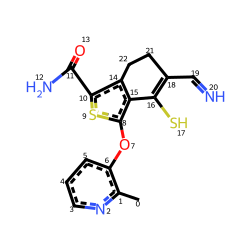 Cc1ncccc1Oc1sc(C(N)=O)c2c1C(S)=C(C=N)CC2